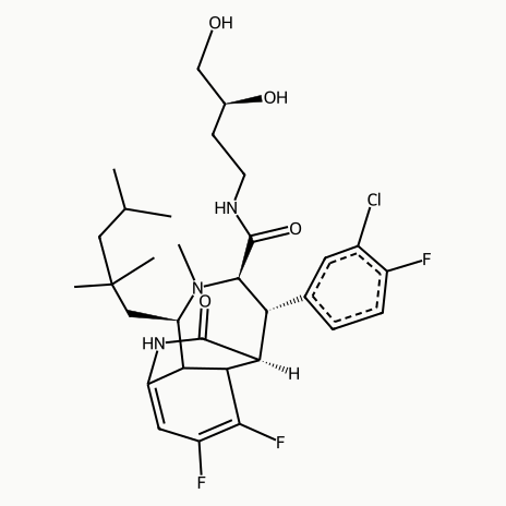 CC(C)CC(C)(C)C[C@@H]1C2C3=CC(F)=C(F)C2[C@@H](C(=O)N3)[C@@H](c2ccc(F)c(Cl)c2)[C@H](C(=O)NCC[C@H](O)CO)N1C